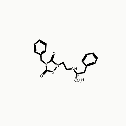 O=C(O)[C@H](Cc1ccccc1)NCCn1sc(=O)n(Cc2ccccc2)c1=O